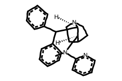 CN(c1ccccn1)[C@@H]1C2CCN(CC2)[C@@H]1C(c1ccccc1)c1ccccc1